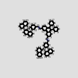 C(=C\c1ccc2c(-c3ccccc3)c(-c3ccccc3)c3ccc(/C=C/c4ccc(N(c5cccc6ccccc56)c5cccc6ccccc56)cc4)cc3c2c1)/c1ccc(N(c2cccc3ccccc23)c2cccc3ccccc23)cc1